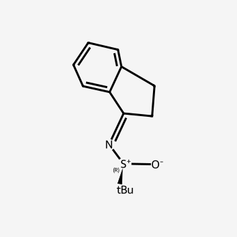 CC(C)(C)[S@+]([O-])N=C1CCc2ccccc21